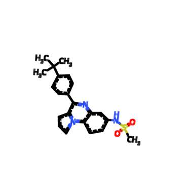 CC(C)(C)c1ccc(-c2nc3cc(NS(C)(=O)=O)ccc3n3cccc23)cc1